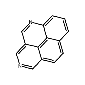 c1cc2ccc3cncc4cnc(c1)c2c34